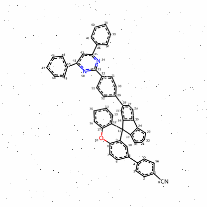 N#Cc1ccc(-c2ccc3c(c2)C2(c4ccccc4O3)c3ccccc3-c3ccc(-c4ccc(-c5nc(-c6ccccc6)cc(-c6ccccc6)n5)cc4)cc32)cc1